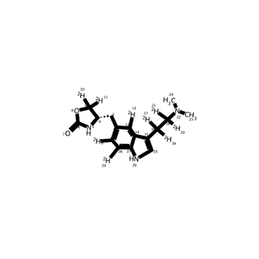 [2H]c1c(C[C@@H]2NC(=O)OC2([2H])[2H])c([2H])c2c(C([2H])([2H])C([2H])([2H])N(C)C)c[nH]c2c1[2H]